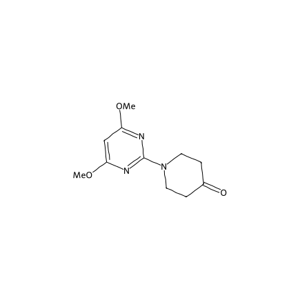 COc1cc(OC)nc(N2CCC(=O)CC2)n1